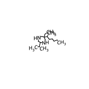 CCCCCC(C)C1(CC)CNCC(C(C)C)NC1